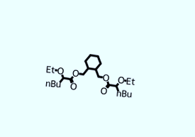 CCCCC(OCC)C(=O)OCC1CCCCC1COC(=O)C(CCCC)OCC